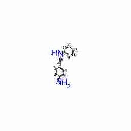 Nc1ccc(C#CNc2ccccc2)cc1